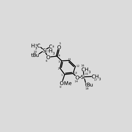 COc1cc(C(=O)O[Si](C)(C)C(C)(C)C)ccc1O[Si](C)(C)C(C)(C)C